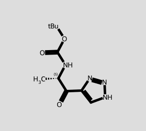 C[C@H](NC(=O)OC(C)(C)C)C(=O)c1c[nH]nn1